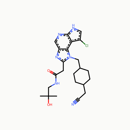 CC(C)(O)CNC(=O)Cc1nc2cnc3[nH]cc(Cl)c3c2n1CC1CCC(CC#N)CC1